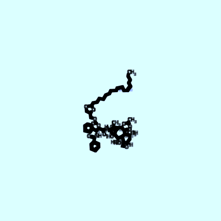 CCCC/C=C\C/C=C\CCCCCCCCC1OCC(COC(=O)O[C@@H](C(=O)O[C@H]2CC3(O)[C@@H](O)[C@@H]4[C@]5(O)CO[C@@H]5C[C@H](O)[C@@]4(C)C(=O)[C@H](OC(C)=O)C(=C2C)C3(C)C)[C@@H](NC(=O)c2ccccc2)c2ccccc2)O1